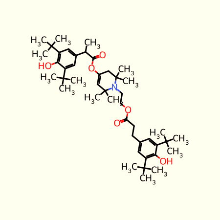 CC(C(=O)OC1=CC(C)(C)N(CCOC(=O)CCc2cc(C(C)(C)C)c(O)c(C(C)(C)C)c2)C(C)(C)C1)c1cc(C(C)(C)C)c(O)c(C(C)(C)C)c1